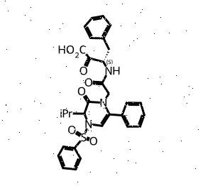 CC(C)C1C(=O)N(CC(=O)N[C@@H](Cc2ccccc2)C(=O)C(=O)O)C(c2ccccc2)=CN1S(=O)(=O)c1ccccc1